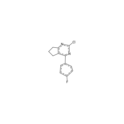 Fc1ccc(-c2nc(Cl)nc3c2CCC3)cc1